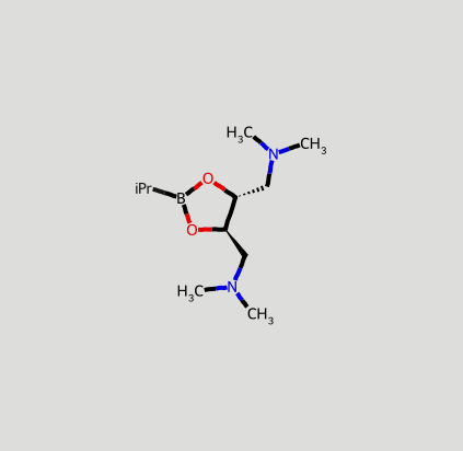 CC(C)B1O[C@H](CN(C)C)[C@@H](CN(C)C)O1